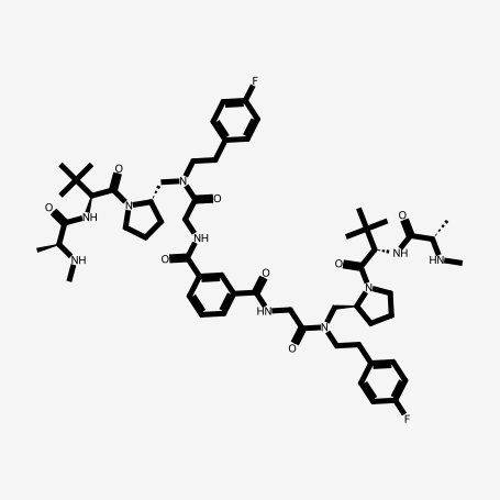 CN[C@@H](C)C(=O)N[C@H](C(=O)N1CCC[C@H]1CN(CCc1ccc(F)cc1)C(=O)CNC(=O)c1cccc(C(=O)NCC(=O)N(CCc2ccc(F)cc2)C[C@@H]2CCCN2C(=O)[C@@H](NC(=O)[C@H](C)NC)C(C)(C)C)c1)C(C)(C)C